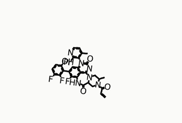 C=CC(=O)N1CC2C(=O)Nc3c(F)c(-c4c(O)ccc(F)c4F)cc4c3c(nc(=O)n4-c3c(C)ccnc3C(C)C)N2CC1C